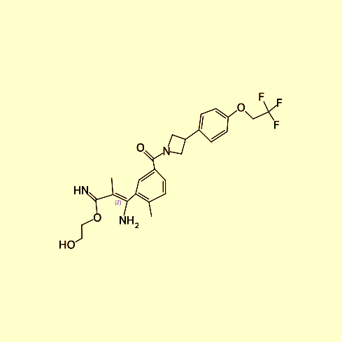 C/C(C(=N)OCCO)=C(/N)c1cc(C(=O)N2CC(c3ccc(OCC(F)(F)F)cc3)C2)ccc1C